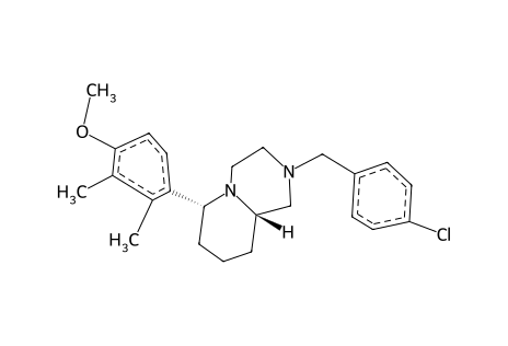 COc1ccc([C@H]2CCC[C@H]3CN(Cc4ccc(Cl)cc4)CCN32)c(C)c1C